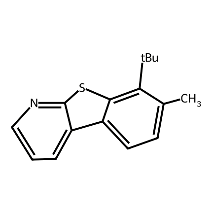 Cc1ccc2c(sc3ncccc32)c1C(C)(C)C